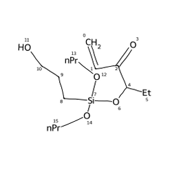 C=CC(=O)C(CC)O[Si](CCCO)(OCCC)OCCC